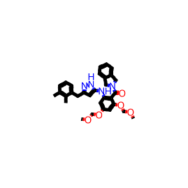 COCOc1cc(Nc2cc(Cc3cccc(C)c3C)n[nH]2)c(C(=O)N2Cc3ccccc3C2)c(OCOC)c1